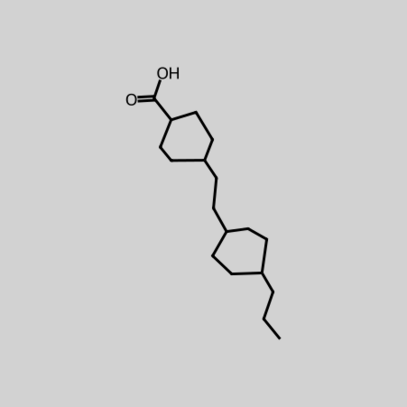 CCCC1CCC(CCC2CCC(C(=O)O)CC2)CC1